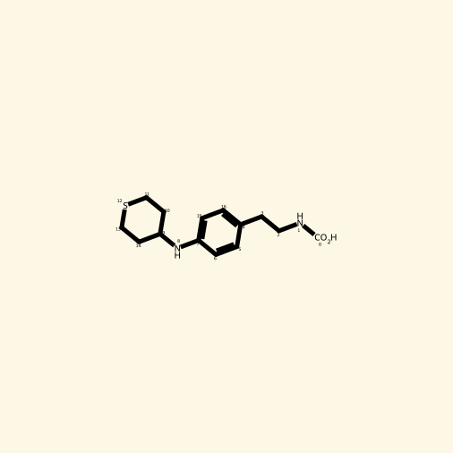 O=C(O)NCCc1ccc(NC2CCSCC2)cc1